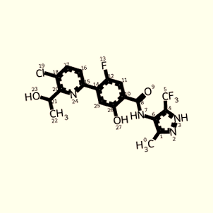 Cc1n[nH]c(C(F)(F)F)c1NC(=O)c1cc(F)c(-c2ccc(Cl)c(C(C)O)n2)cc1O